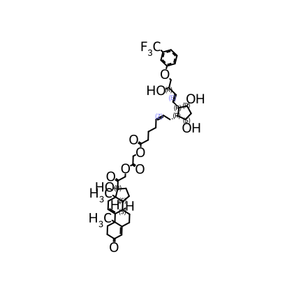 CC12CCC(=O)C=C1CC[C@@H]1C2=CCC2(C)[C@H]1CC[C@]2(O)C(=O)COC(=O)COC(=O)CCC/C=C\C[C@@H]1[C@@H](/C=C/[C@@H](O)COc2cccc(C(F)(F)F)c2)[C@H](O)C[C@@H]1O